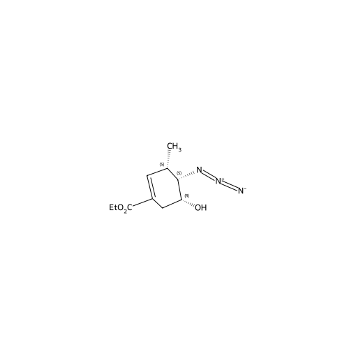 CCOC(=O)C1=C[C@H](C)[C@H](N=[N+]=[N-])[C@H](O)C1